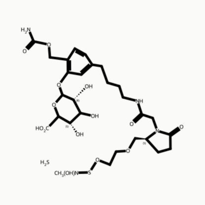 CN(O)SOCCOC[C@@H]1CCC(=O)N1CC(=O)NCCCCc1ccc(COC(N)=O)c(OC2OC(C(=O)O)[C@@H](O)C(O)[C@H]2O)c1.S